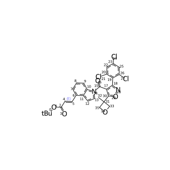 CC(C)(C)OC(=O)/C=C/c1cccc2c1ccn2C(=O)c1c(-c2c(Cl)cc(Cl)cc2Cl)noc1C1(C)COC1